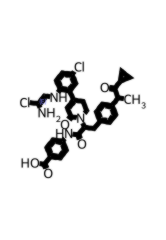 CC(C(=O)C1CC1)c1ccc(CC(C(=O)Nc2ccc(C(=O)O)cc2)N2CCC(c3cc(Cl)ccc3N/C=C(\N)Cl)=CC2=O)cc1